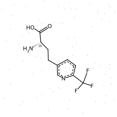 N[C@@H](CCc1ccc(C(F)(F)F)nc1)C(=O)O